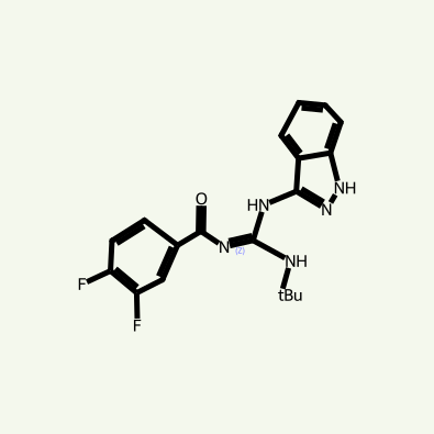 CC(C)(C)N/C(=N/C(=O)c1ccc(F)c(F)c1)Nc1n[nH]c2ccccc12